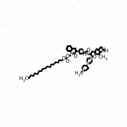 CCCCCCCCCCCCCCCCCCOC(=O)OCn1c(=O)c(C2CCN(C(=O)NC(Cc3cc(C)c4[nH]ncc4c3)C(=O)N3CCN(C4CCN(C)CC4)CC3)CC2)cc2ccccc21